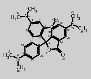 CCOc1cc(N(C)C)ccc1C1(c2ccc(N(C)C)cc2)OC(=O)c2cc(N(C)C)ccc21